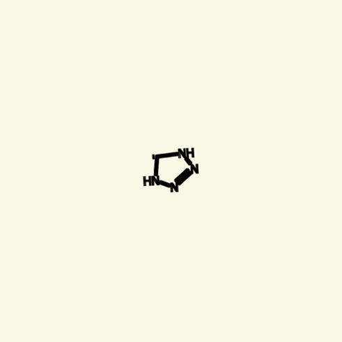 [C]1NN=NN1